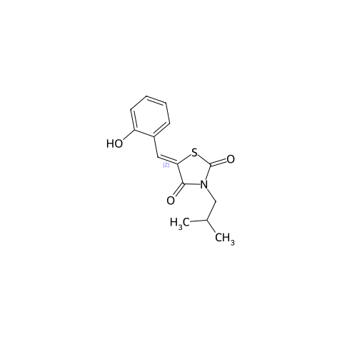 CC(C)CN1C(=O)S/C(=C\c2ccccc2O)C1=O